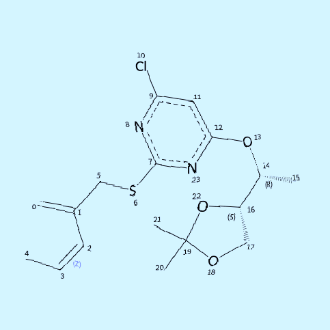 C=C(/C=C\C)CSc1nc(Cl)cc(O[C@H](C)[C@@H]2COC(C)(C)O2)n1